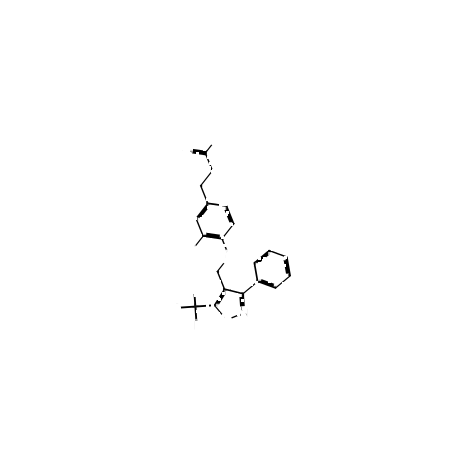 O=C(O)CCc1ccc(OCc2c(-c3ccccc3)nsc2C(F)(F)F)c(F)c1